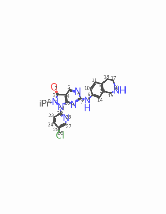 CC(C)n1c(=O)c2cnc(Nc3ccc4c(c3)CNCC4)nc2n1-c1ccc(Cl)cn1